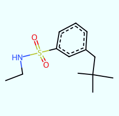 CCNS(=O)(=O)c1cccc(CC(C)(C)C)c1